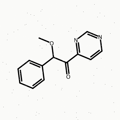 COC(C(=O)c1ccncn1)c1ccccc1